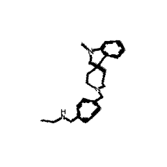 CCNCc1ccc(CN2CCC3(CC2)CN(C)c2ccccc23)cc1